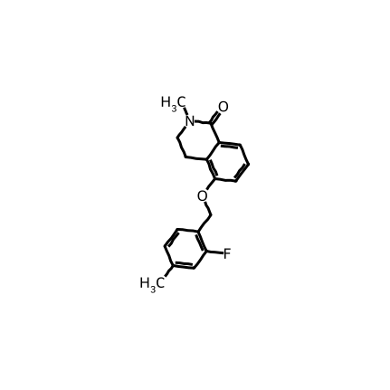 Cc1ccc(COc2cccc3c2CCN(C)C3=O)c(F)c1